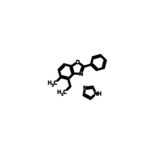 CCc1c(C)ccc2oc(-c3ccccc3)nc12.c1c[nH]cn1